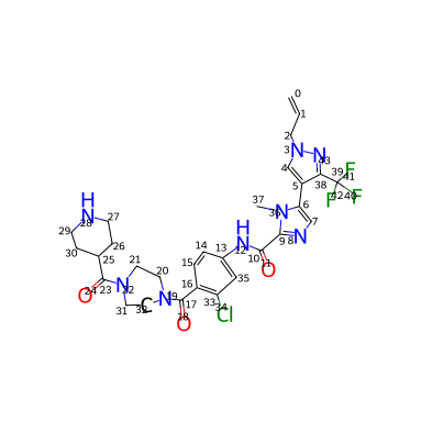 C=CCn1cc(-c2cnc(C(=O)Nc3ccc(C(=O)N4CCN(C(=O)C5CCNCC5)CC4)c(Cl)c3)n2C)c(C(F)(F)F)n1